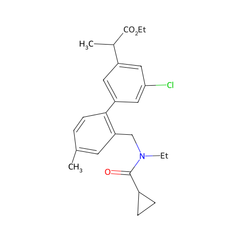 CCOC(=O)C(C)c1cc(Cl)cc(-c2ccc(C)cc2CN(CC)C(=O)C2CC2)c1